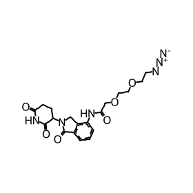 [N-]=[N+]=NCCOCCOCC(=O)Nc1cccc2c1CN(C1CCC(=O)NC1=O)C2=O